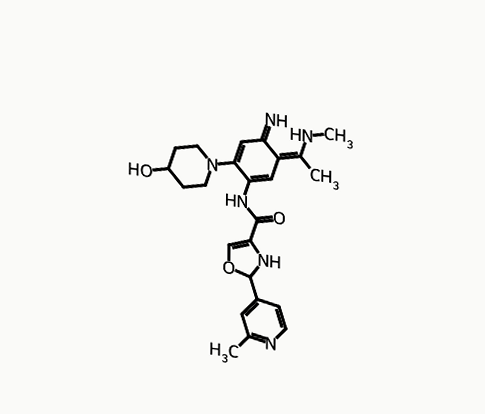 CN/C(C)=C1/C=C(NC(=O)C2=COC(c3ccnc(C)c3)N2)C(N2CCC(O)CC2)=CC1=N